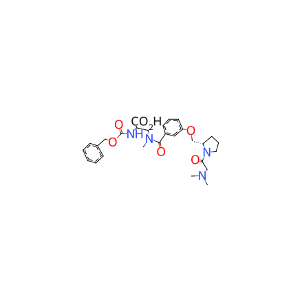 CN(C)CC(=O)N1CCC[C@H]1COc1cccc(C(=O)N(C)C[C@@H](NC(=O)OCc2ccccc2)C(=O)O)c1